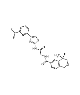 CC1(F)COCc2ccc(C(=O)NCC(=O)Nc3nc(-c4cccc(C(F)F)n4)cs3)cc21